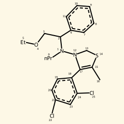 CCCN(C(COCC)c1ccccc1)N1CSC(C)=C1c1ccc(Cl)cc1Cl